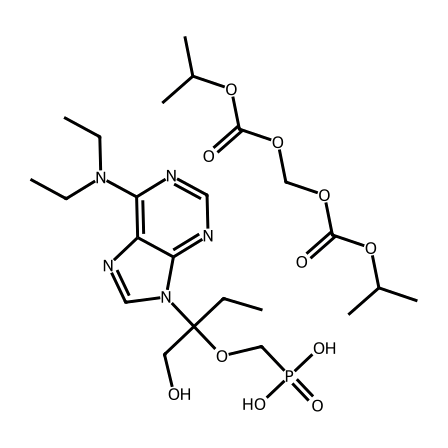 CC(C)OC(=O)OCOC(=O)OC(C)C.CCN(CC)c1ncnc2c1ncn2C(CC)(CO)OCP(=O)(O)O